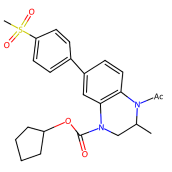 CC(=O)N1c2ccc(-c3ccc(S(C)(=O)=O)cc3)cc2N(C(=O)OC2CCCC2)CC1C